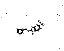 O=[N+]([O-])c1ncc2[nH]c(SCc3ccccc3)nc2n1